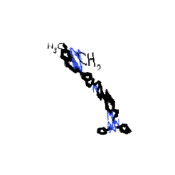 C=Nc1c(/C=C\C)ccc2ccc(-c3ccc4cc(-c5ccc6cc(-c7ccc8ccc(-c9nc(-c%10ccccc%10)nc(-c%10ccccc%10)n9)nc8c7)ccc6n5)ccc4c3)nc12